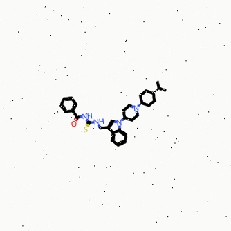 CC(C)[C@H]1CC[C@@H](N2CCC(n3cc(CNC(=S)NC(=O)c4ccccc4)c4ccccc43)CC2)CC1